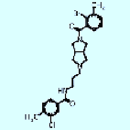 Cc1ccc(C(=O)NCCCN2CC3CN(C(=O)c4cccc(C)c4Br)CC3C2)cc1Cl